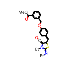 CCN=C1SC(C=C2C=CC(OCc3cccc(C(=O)OC)c3)=CC2)C(=C=O)N1CC